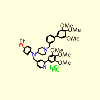 CCOc1ccc(N(Cc2ccnc(-c3cc(OC)c(OC)c(OC)c3)c2)C2CCN(Cc3cccc(-c4cc(OC)c(OC)c(OC)c4)c3)CC2)cc1.Cl.Cl